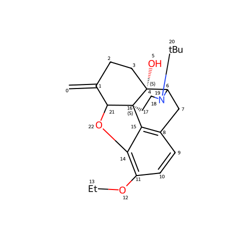 C=C1CC[C@@]2(O)C3Cc4ccc(OCC)c5c4[C@@]2(CCN3C(C)(C)C)C1O5